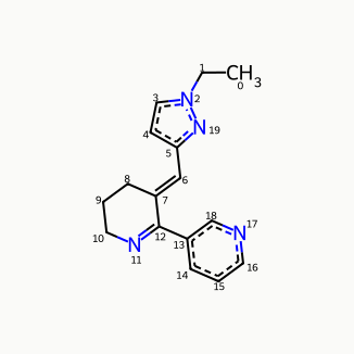 CCn1ccc(/C=C2\CCCN=C2c2cccnc2)n1